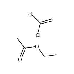 C=C(Cl)Cl.CCOC(C)=O